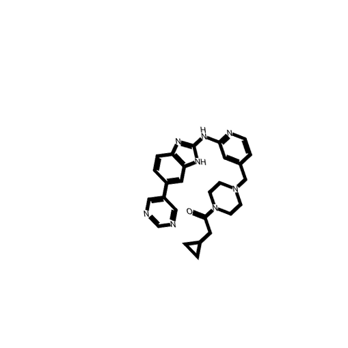 O=C(CC1CC1)N1CCN(Cc2ccnc(Nc3nc4ccc(-c5cncnc5)cc4[nH]3)c2)CC1